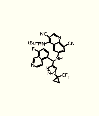 CC(C)(C)CNc1c(C#N)cnc2c(C#N)cc(NC(c3cn(C4(C(F)(F)F)CC4)nn3)c3ccc(F)c4cnccc34)cc12